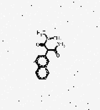 CN(C)C(=O)C(C(N)=O)c1ccc2ccccc2c1